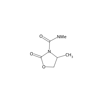 CNC(=O)N1C(=O)OCC1C